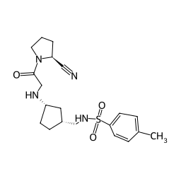 Cc1ccc(S(=O)(=O)NC[C@@H]2CC[C@H](NCC(=O)N3CCC[C@H]3C#N)C2)cc1